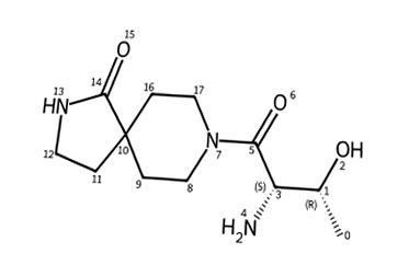 C[C@@H](O)[C@H](N)C(=O)N1CCC2(CCNC2=O)CC1